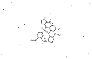 COc1ccc(S(=O)(=O)N(c2c(Cc3c(F)cccc3F)cc(Cl)cc2OC)[C@H]2CCNC2)cc1OC.Cl